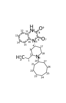 CCC1C[C@H](n2c(=O)c(=O)[nH]c3ccccc32)CCN1C1CCCCCCC1